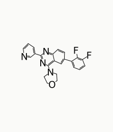 Fc1cccc(-c2ccc3nc(-c4cccnc4)nc(N4CCOCC4)c3c2)c1F